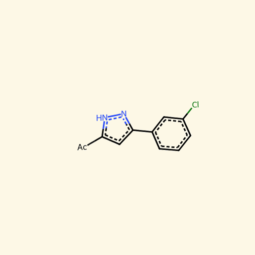 CC(=O)c1cc(-c2cccc(Cl)c2)n[nH]1